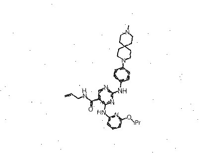 C=CCNC(=O)c1cnc(Nc2ccc(N3CCC4(CCN(C)CC4)CC3)cc2)nc1Nc1cccc(OC(C)C)n1